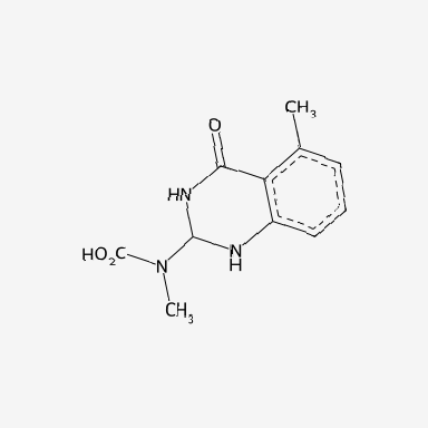 Cc1cccc2c1C(=O)NC(N(C)C(=O)O)N2